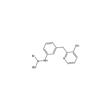 CC(C)(C)N(Br)Nc1cccc(Cc2ncccc2O)c1